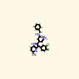 C=C(/C=C(\C=C/N)c1[nH]c2ccc(C#N)nc2c1-c1ccc(F)c(Cl)c1)NCc1ccccc1